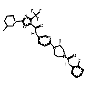 CC1CCCN(c2nc(C(F)(F)F)c(C(=O)Nc3ccc(N4CCN(C(=O)Nc5ccccc5F)C[C@@H]4C)nc3)o2)C1